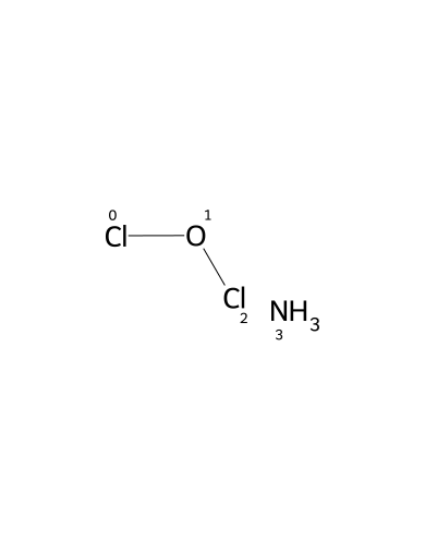 ClOCl.N